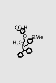 COc1ccc(CN(CC(c2ccccc2)c2ccccc2)[C@H](C)CCOc2cccc(CC(=O)O)c2)cc1